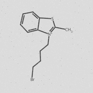 Cc1sc2ccccc2[n+]1CCCCBr